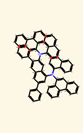 c1ccc(-c2cc(N(c3cccc4ccccc34)c3cc4ccccc4c4ccccc34)c3cc(N(c4cccc5ccccc45)c4cc5ccccc5c5ccccc45)c(-c4ccccc4)cc3c2)cc1